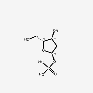 O=P(O)(O)O[C@@H]1C[C@H](O)[C@@H](CO)O1